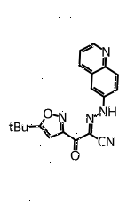 CC(C)(C)c1cc(C(=O)/C(C#N)=N/Nc2ccc3ncccc3c2)no1